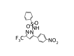 O=[N+]([O-])c1ccc(-c2cc(C(F)(F)F)nn2NS(=O)(=O)c2ccccc2)cc1